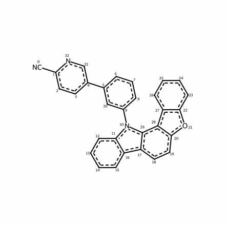 N#Cc1ccc(-c2cccc(-n3c4ccccc4c4ccc5oc6ccccc6c5c43)c2)cn1